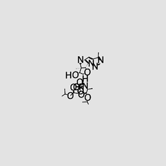 Cc1ncnn2c([C@@H]3O[C@H](CO[P@@](=O)(N[C@@H](C)C(=O)OC(C)C)OCC(=O)OC(C)C)[C@@H](O)[C@@]3(C)C#N)ccc12